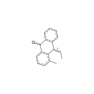 C/C=C1/c2ccccc2C(=O)c2cccc(C)c21